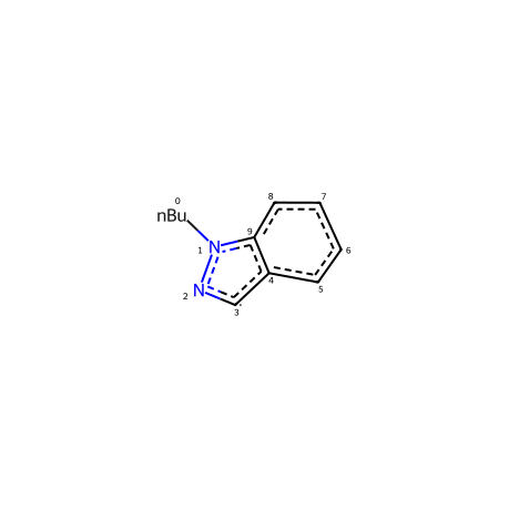 CCCCn1n[c]c2ccccc21